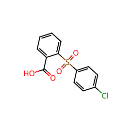 O=C(O)c1ccccc1S(=O)(=O)c1ccc(Cl)cc1